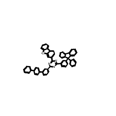 c1ccc(-c2ccc(-c3cccc(-c4nc(-c5cccc(C6(c7ccccc7)c7ccccc7-c7ccccc76)c5)nc(-c5ccc6c(c5)oc5ccccc56)n4)c3)cc2)cc1